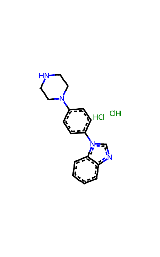 Cl.Cl.c1ccc2c(c1)ncn2-c1ccc(N2CCNCC2)cc1